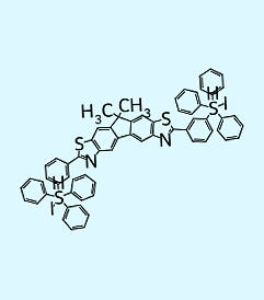 CC1(C)c2cc3sc(-c4cccc([SH](I)(c5ccccc5)(c5ccccc5)c5ccccc5)c4)nc3cc2-c2cc3nc(-c4cccc([SH](I)(c5ccccc5)(c5ccccc5)c5ccccc5)c4)sc3cc21